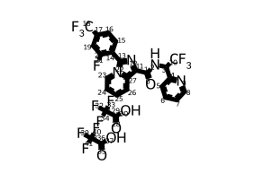 O=C(NC(c1ccccn1)C(F)(F)F)c1nc(-c2ccc(C(F)(F)F)cc2F)n2ccccc12.O=C(O)C(F)(F)F.O=C(O)C(F)(F)F